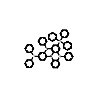 c1ccc(N(c2ccccc2)c2ccc3c(c2)N(c2ccccc2)c2cc([Si](c4ccccc4)(c4ccccc4)c4ccccc4)cc4c2B3c2ccccc2N4c2ccccc2)cc1